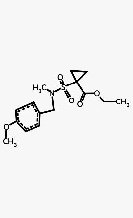 CCOC(=O)C1(S(=O)(=O)N(C)Cc2ccc(OC)cc2)CC1